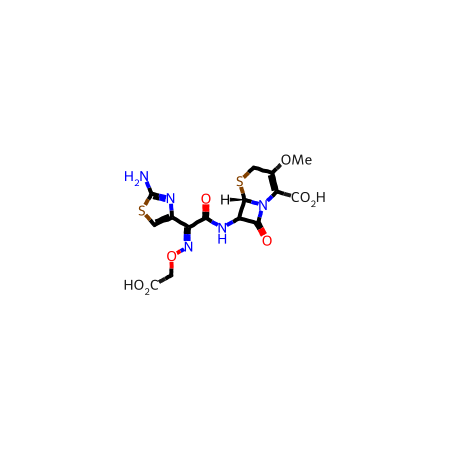 COC1=C(C(=O)O)N2C(=O)C(NC(=O)C(=NOCC(=O)O)c3csc(N)n3)[C@@H]2SC1